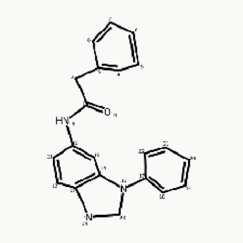 O=C(Cc1ccccc1)Nc1ccc2c(c1)N(c1ccccc1)C[N]2